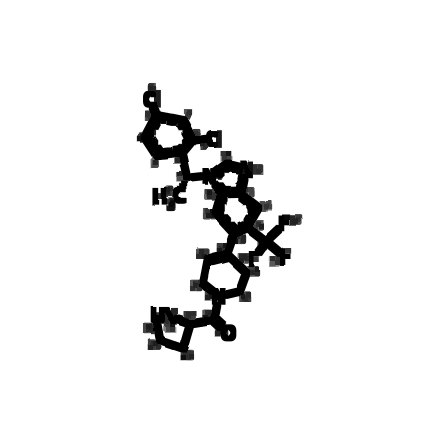 C[C@H](c1ccc(Cl)cc1Cl)n1cnc2cc(C(F)(F)F)c(C3=CCN(C(=O)C4CCCN4)CC3)cc21